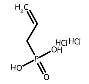 C=CCP(=O)(O)O.Cl.Cl